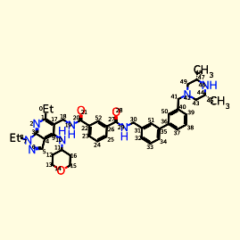 CCc1nc2c(cnn2CC)c(NC2CCOCC2)c1CNC(=O)c1cccc(C(=O)NCc2cccc(-c3cccc(CN4C[C@@H](C)N[C@@H](C)C4)c3)c2)c1